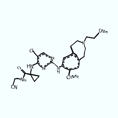 COCCN1CCc2cc(Nc3ncc(Cl)c(NC4(C(=O)NCC#N)CC4)n3)c(OC)cc2CC1